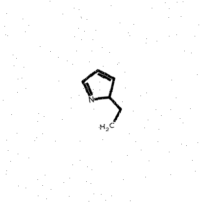 [CH2]CC1C=CC=N1